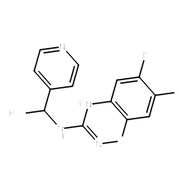 CC(NC1=NSc2cc(F)c(F)cc2N1)c1ccncc1